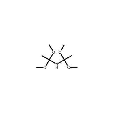 COC(C)(NC(C)(OC)OC)OC